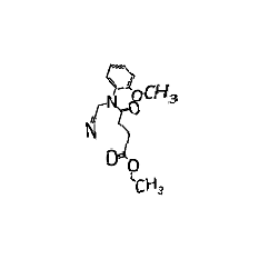 CCOC(=O)CCC(=O)N(CC#N)c1ccccc1OC